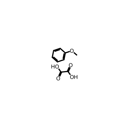 COc1ccccc1.O=C(O)C(=O)O